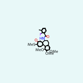 COc1cc2c(c(OC)c1OC)-c1ccc(SC)c(=O)cc1[C@@H](NC(=O)c1cccc(C)c1I)CC2